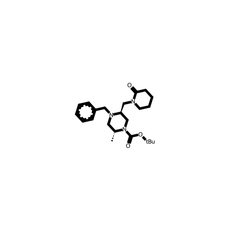 C[C@@H]1CN(Cc2ccccc2)[C@@H](CN2CCCCC2=O)CN1C(=O)OC(C)(C)C